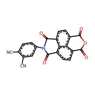 N#Cc1ccc(N2C(=O)c3ccc4c5c(ccc(c35)C2=O)C(=O)OC4=O)cc1C#N